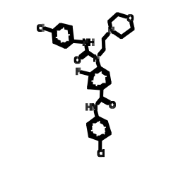 O=C(Nc1ccc(Cl)cc1)c1ccc(N(CCN2CCOCC2)C(=O)Nc2ccc(Cl)cc2)c(F)c1